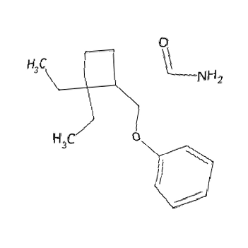 CCC1(CC)CCC1COc1ccccc1.NC=O